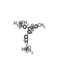 CNC(=O)CCN1CCc2ccc(-c3cnc4c(c3)c(-c3ccc(C(=O)N(C)C)cc3)cn4S(=O)(=O)c3ccc(C)cc3)cc2C1